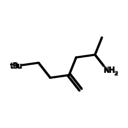 C=C(CCC(C)(C)C)CC(C)N